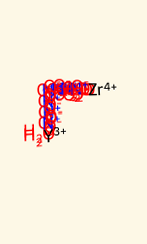 O.O.O.O.O.O.O=[N+]([O-])[O-].O=[N+]([O-])[O-].O=[N+]([O-])[O-].O=[N+]([O-])[O-].O=[N+]([O-])[O-].O=[N+]([O-])[O-].O=[N+]([O-])[O-].[Y+3].[Zr+4]